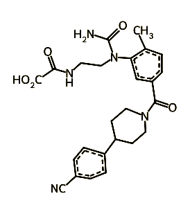 Cc1ccc(C(=O)N2CCC(c3ccc(C#N)cc3)CC2)cc1N(CCNC(=O)C(=O)O)C(N)=O